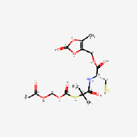 Cc1oc(=O)oc1COC(=O)[C@H](CS)NC(=O)C(C)(C)SC(=O)OCOC(=O)C(C)C